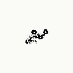 CC(NC(=O)c1c(N)nn2cccnc12)c1cc2cccc(/C=C/c3ccccc3)c2c(=O)n1-c1ccccc1